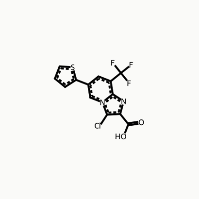 O=C(O)c1nc2c(C(F)(F)F)cc(-c3cccs3)cn2c1Cl